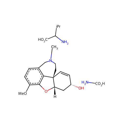 CC(C)C(N)C(=O)O.COc1ccc2c3c1O[C@H]1C[C@@H](O)C=C[C@@]31CCN(C)C2.NC(=O)O